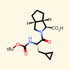 CC(C)(C)OC(=O)N[C@@H](CC1CC1)C(=O)N1C[C@@H]2CCC[C@@H]2[C@H]1C(=O)O